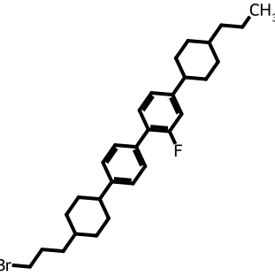 CCCC1CCC(c2ccc(-c3ccc(C4CCC(CCCBr)CC4)cc3)c(F)c2)CC1